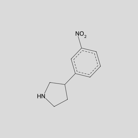 O=[N+]([O-])c1cccc(C2CCNC2)c1